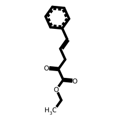 CCOC(=O)C(=O)C/C=C/c1ccccc1